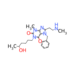 CNCCc1nc2c(c(=O)n(CCCCC(C)O)c(=O)n2C)n1Cc1ccccc1